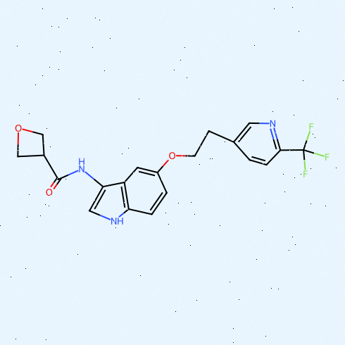 O=C(Nc1c[nH]c2ccc(OCCc3ccc(C(F)(F)F)nc3)cc12)C1COC1